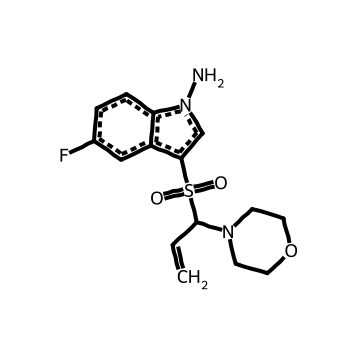 C=CC(N1CCOCC1)S(=O)(=O)c1cn(N)c2ccc(F)cc12